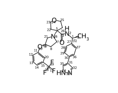 C[C@H](NC(=O)C1(N2CC[C@@H](Oc3cccc(C(F)(F)F)c3)C2)CCOCC1)c1ccc(-c2cn[nH]c2)cc1